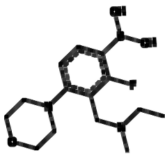 CCN(C)Cc1c(N2CCOCC2)ccc(B(O)O)c1F